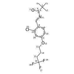 CC(C)(C)[S+]([O-])/N=C/c1ccc(OCCCC(F)(F)F)cc1Cl